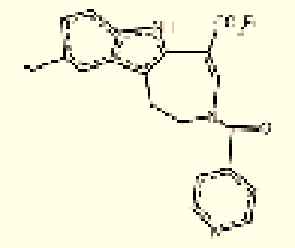 CCOC(=O)C1=CN(C(=O)c2ccncc2)CCc2c1[nH]c1ccc(F)cc21